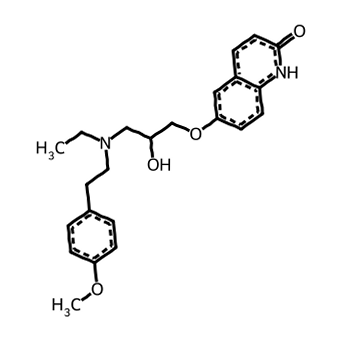 CCN(CCc1ccc(OC)cc1)CC(O)COc1ccc2[nH]c(=O)ccc2c1